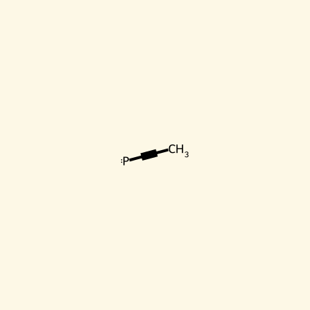 CC#C[P]